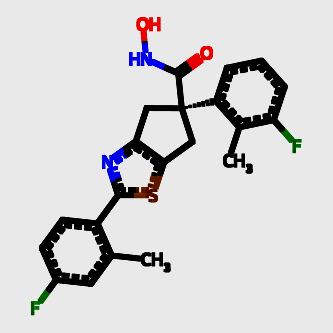 Cc1cc(F)ccc1-c1nc2c(s1)C[C@@](C(=O)NO)(c1cccc(F)c1C)C2